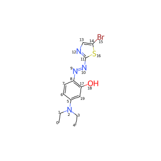 CCN(CC)c1ccc(N=Nc2ncc(Br)s2)c(O)c1